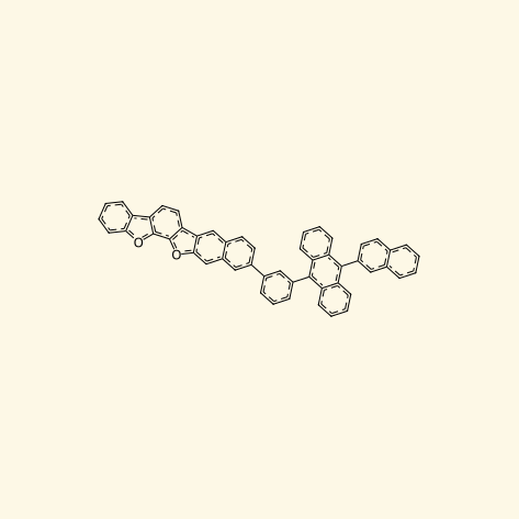 c1cc(-c2ccc3cc4c(cc3c2)oc2c4ccc3c4ccccc4oc32)cc(-c2c3ccccc3c(-c3ccc4ccccc4c3)c3ccccc23)c1